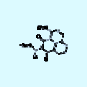 CCCCCC(CC)N1C(=O)c2cccc3ccc(OC)c(c23)C1=O